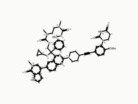 COc1ccc(C#CC2CCN(c3nc(C(COC(=O)N(C)CCN(C)C(=O)OC(C)(C)C)(OC4CC4)c4ccccc4)c4cc(-c5cn(C)c(=O)c6[nH]ccc56)ccc4n3)CC2)cc1N1CCC(=O)NC1=O